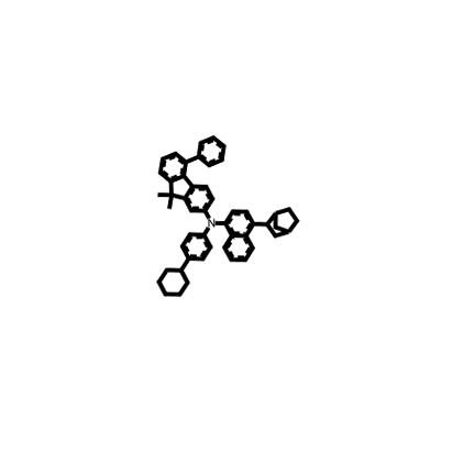 CC1(C)c2cc(N(c3ccc(C4CCCCC4)cc3)c3ccc(C4CC5CCC4C5)c4ccccc34)ccc2-c2c(-c3ccccc3)cccc21